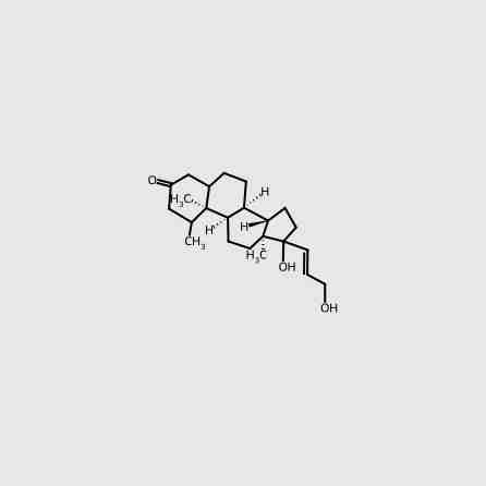 CC1CC(=O)CC2CC[C@@H]3[C@@H](CC[C@@]4(C)[C@H]3CCC4(O)C=CCO)[C@@]12C